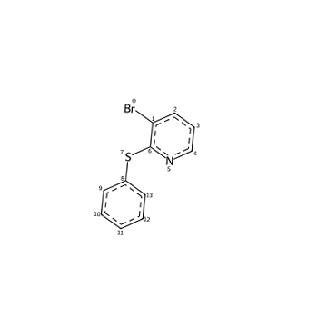 Brc1cccnc1Sc1ccccc1